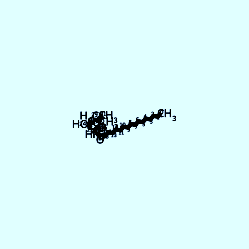 CCCCCCCCCCCCCCCCS(=O)(=O)N[C@@H](CC(=O)O)C(=O)OC(C)(C)C